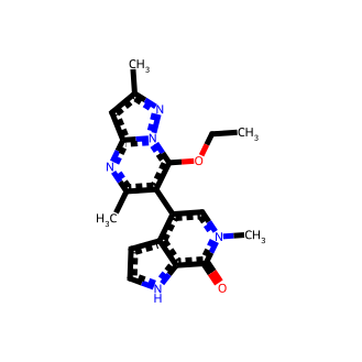 CCOc1c(-c2cn(C)c(=O)c3[nH]ccc23)c(C)nc2cc(C)nn12